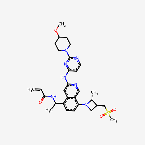 C=CC(=O)NC(C)c1ccc(N2C[C@H](CS(C)(=O)=O)[C@H]2C)c2cnc(Nc3ccnc(N4CCC(OC)CC4)n3)cc12